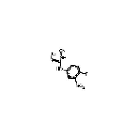 CC(C)(C)/N=C(\NC#N)Nc1ccc(F)c([N+](=O)[O-])c1